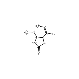 C=CC1NC(=O)CC1/C(I)=C\C